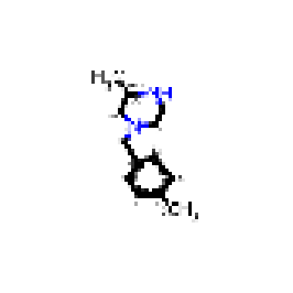 Cc1ccc(CN2CCN[C@H](C)C2)cc1